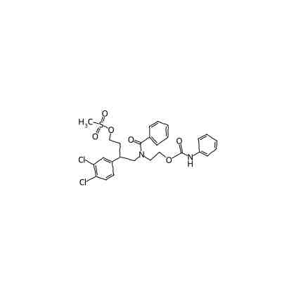 CS(=O)(=O)OCCC(CN(CCOC(=O)Nc1ccccc1)C(=O)c1ccccc1)c1ccc(Cl)c(Cl)c1